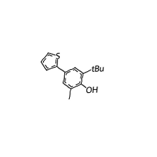 Cc1cc(-c2cccs2)cc(C(C)(C)C)c1O